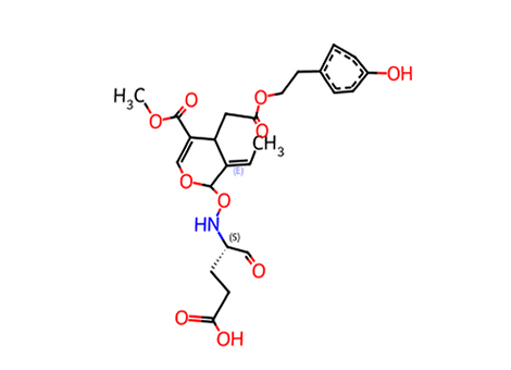 C/C=C1/C(ON[C@H](C=O)CCC(=O)O)OC=C(C(=O)OC)C1CC(=O)OCCc1ccc(O)cc1